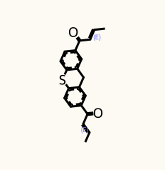 C/C=C/C(=O)c1ccc2c(c1)Cc1cc(C(=O)/C=C/C)ccc1S2